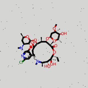 CC[C@H]1OC(=O)[C@H](C)[C@@H](O[C@H]2C[C@@](C)(OC)[C@@H](O)[C@H](C)O2)[C@H](C)[C@@H](O[C@@H]2O[C@H](C)C[C@H](N(C)C)[C@H]2Oc2cnc(Cl)cc2C)[C@](C)(O)C[C@@H](C)CN(C)[C@H](C)[C@@H](O)[C@]1(C)O